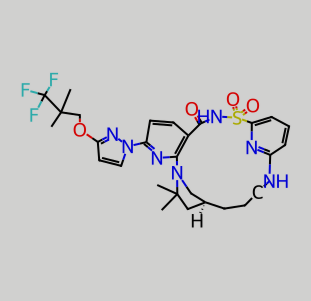 CC1(C)C[C@@H]2CCCNc3cccc(n3)S(=O)(=O)NC(=O)c3ccc(-n4ccc(OCC(C)(C)C(F)(F)F)n4)nc3N1C2